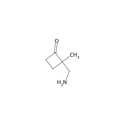 CC1(CN)CCC1=O